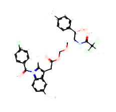 COc1ccc2c(c1)c(CC(=O)OCOC[C@@H](NC(=O)C(C)(Cl)Cl)[C@H](O)c1ccc([N+](=O)[O-])cc1)c(C)n2C(=O)c1ccc(Cl)cc1